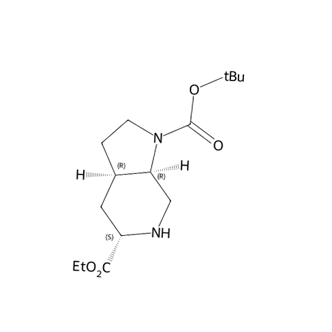 CCOC(=O)[C@@H]1C[C@H]2CCN(C(=O)OC(C)(C)C)[C@H]2CN1